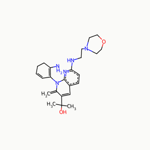 C=C1C(C(C)(C)O)=Cc2ccc(NCCN3CCOCC3)nc2N1C1=C(N)CCC=C1